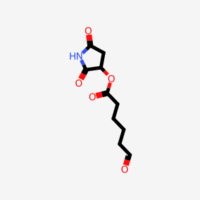 O=CCCCCC(=O)OC1CC(=O)NC1=O